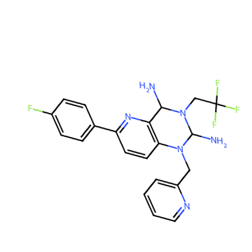 NC1c2nc(-c3ccc(F)cc3)ccc2N(Cc2ccccn2)C(N)N1CC(F)(F)F